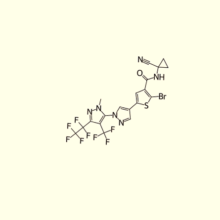 Cn1nc(C(F)(F)C(F)(F)F)c(C(F)(F)F)c1-n1cc(-c2cc(C(=O)NC3(C#N)CC3)c(Br)s2)cn1